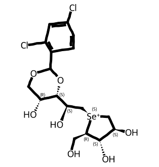 OC[C@@H]1[C@@H](O)[C@H](O)C[Se@+]1C[C@@H](O)[C@H]1OC(c2ccc(Cl)cc2Cl)OC[C@H]1O